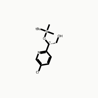 CC(C)(C)[Si](C)(C)O[C@H](CO)c1ccc(Cl)cn1